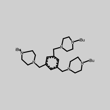 CCC(C)N1CCN(Cc2cc(CN3CCN(C(C)CC)CC3)cc(CN3CCN(C(C)CC)CC3)c2)CC1